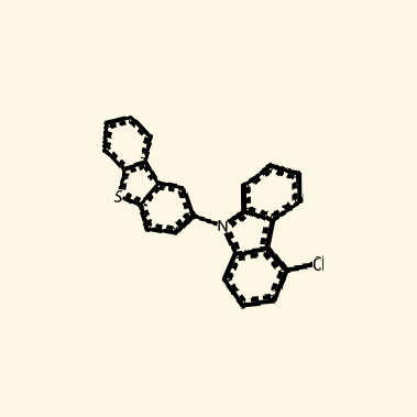 Clc1cccc2c1c1ccccc1n2-c1ccc2sc3ccccc3c2c1